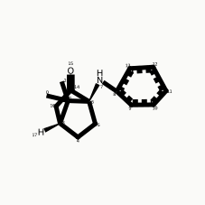 CC1(C)[C@@H]2CC[C@@]1(Nc1ccccc1)C(=O)C2